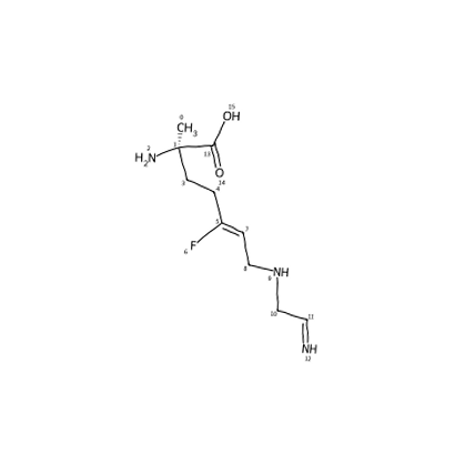 C[C@@](N)(CC/C(F)=C/CNCC=N)C(=O)O